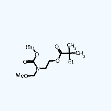 CCC(C)(C)C(=O)OCCN(COC)C(=O)OC(C)(C)C